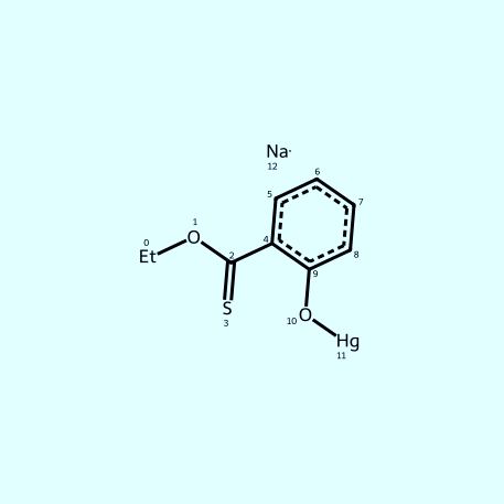 CCOC(=S)c1ccccc1[O][Hg].[Na]